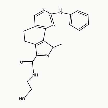 Cn1nc(C(=O)NCCO)c2c1-c1nc(Nc3ccccc3)ncc1CC2